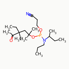 CCCN(C(C)CC)P(OCCC#N)OC(C)(C)CC(C)(CC)C(C)=O